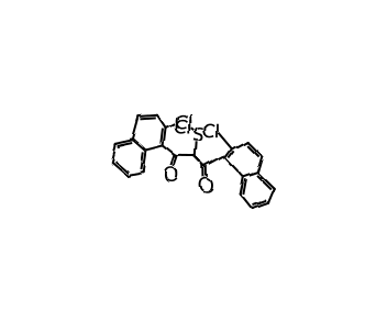 O=C(c1c(Cl)ccc2ccccc12)C(SCl)C(=O)c1c(Cl)ccc2ccccc12